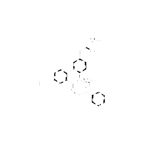 COC(=O)Cc1ccc(OC)c(-c2ccc(C(F)(F)F)cc2CN[C@@H](C)[C@@H](O)c2ccccc2)c1